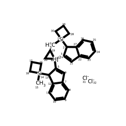 C[Si]1(C2[C]([Hf+2]3([C]4=Cc5ccccc5C4[Si]4(C)CCC4)[CH2][CH2]3)=Cc3ccccc32)CCC1.[Cl-].[Cl-]